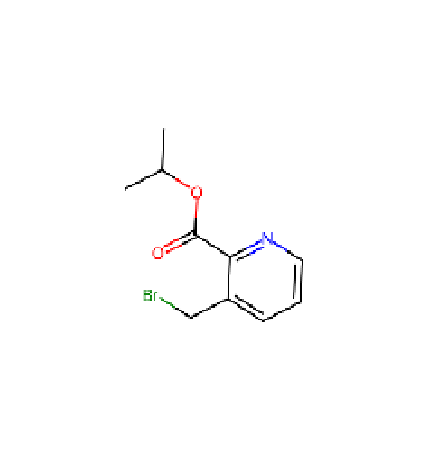 CC(C)OC(=O)c1ncccc1CBr